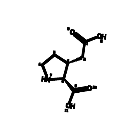 O=C(O)C[C@H]1CCN[C@@H]1C(=O)O